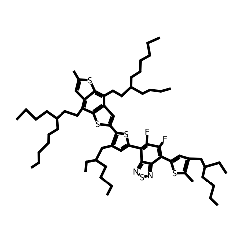 CCCCCCC(CCCC)CCc1c2cc(-c3sc(-c4c(F)c(F)c(-c5cc(CC(CC)CCCC)c(C)s5)c5nsnc45)cc3CC(CC)CCCC)sc2c(CCC(CCCC)CCCCCC)c2cc(C)sc12